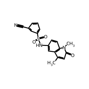 Cc1cc(=O)n(C)c2ccc(NS(=O)(=O)c3cccc(C#N)c3)cc12